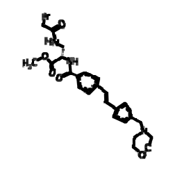 COC(=O)[C@H](CNC(=O)CBr)NC(=O)c1ccc(/C=C/c2ccc(CN3CCOCC3)cc2)cc1